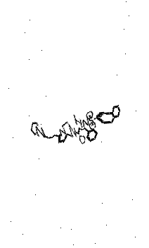 O=C(CC(NS(=O)(=O)c1ccc2ccccc2c1)c1ccccc1)N1CCn2c(CCN3CCCC3)ccc2C1